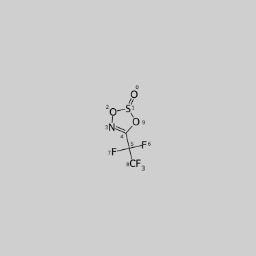 O=S1ON=C(C(F)(F)C(F)(F)F)O1